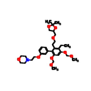 CCc1c(OCOC)cc(OCOC)c(-c2cccc(OCCN3CCOCC3)c2)c1CCOCC1COC(C)(C)O1